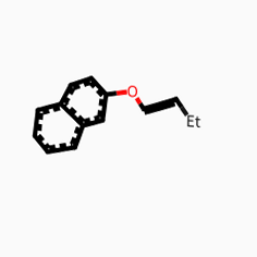 [CH2]CC=COc1ccc2ccccc2c1